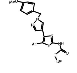 COc1ccc(Cn2cc(-c3nc(NC(=O)OC(C)(C)C)sc3C(C)=O)cn2)cc1